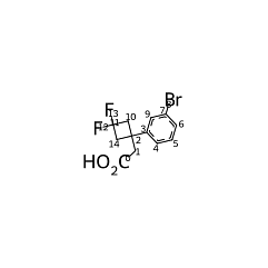 O=C(O)CC1(c2cccc(Br)c2)CC(F)(F)C1